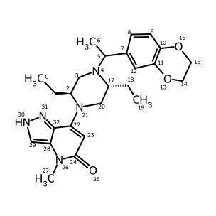 CC[C@H]1CN(C(C)c2ccc3c(c2)OCCO3)[C@H](CC)CN1c1cc(=O)n(C)c2c[nH]nc12